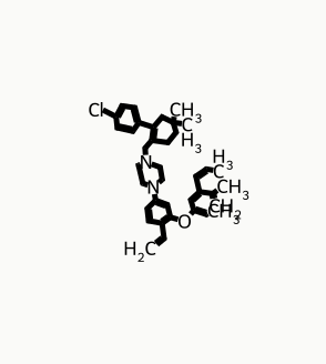 C=Cc1ccc(N2CCN(CC3=C(c4ccc(Cl)cc4)CC(C)(C)CC3)CC2)cc1OC(/C=C(/C=C\C)C(=C)C)=C/C